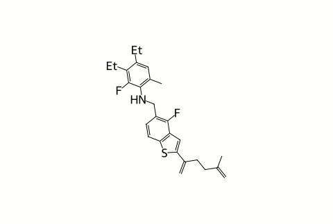 C=C(C)CCC(=C)c1cc2c(F)c(CNc3c(C)cc(CC)c(CC)c3F)ccc2s1